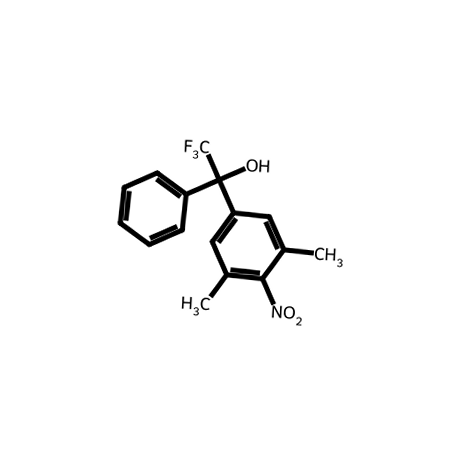 Cc1cc(C(O)(c2ccccc2)C(F)(F)F)cc(C)c1[N+](=O)[O-]